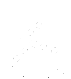 Clc1cccc(-c2cccc(-c3nc(-c4ccc(-c5ccccc5)cc4)nc(-c4ccc(-c5ccccc5)cc4)n3)c2)c1